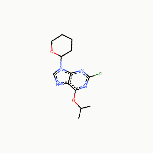 CC(C)Oc1nc(Cl)nc2c1ncn2C1CCCCO1